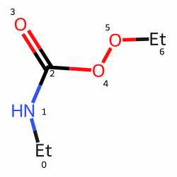 CCNC(=O)OOCC